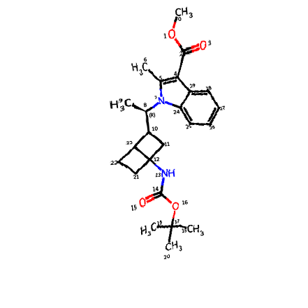 COC(=O)c1c(C)n([C@H](C)C2CC3(NC(=O)OC(C)(C)C)CCC23)c2ccccc12